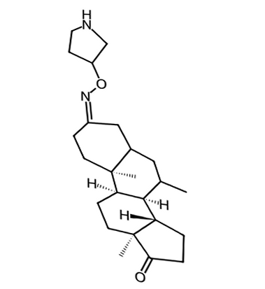 CC1CC2CC(=NOC3CCNC3)CC[C@]2(C)[C@@H]2CC[C@]3(C)C(=O)CC[C@H]3[C@H]12